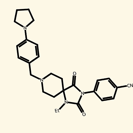 CCN1C(=O)N(c2ccc(C#N)cc2)C(=O)C12CCN(Cc1ccc(N3CCCC3)cc1)CC2